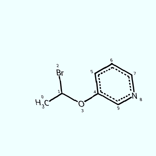 CC(Br)Oc1cccnc1